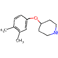 Cc1ccc(OC2CCNCC2)cc1C